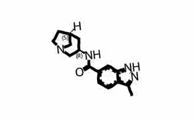 Cc1n[nH]c2cc(C(=O)N[C@@H]3C[C@@H]4CCN(C4)C3)ccc12